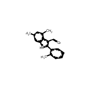 Cc1cc(C)c2c(C=O)c(-c3ccccc3C)[nH]c2c1